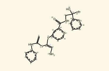 C=C(Nc1ccccn1)S/C(=C\N)Sc1ccnc(C(=O)NCC(O)(CCC)c2ccccn2)c1